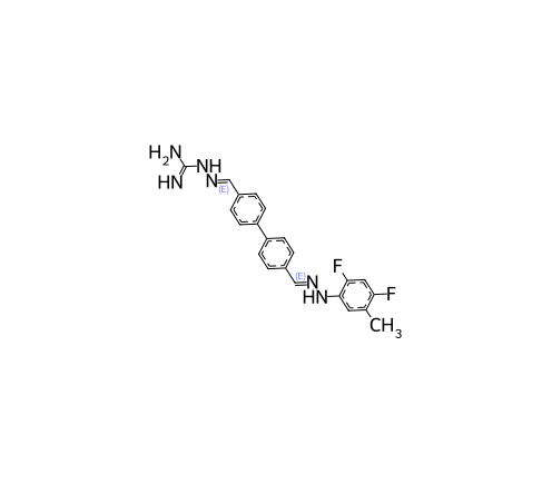 Cc1cc(N/N=C/c2ccc(-c3ccc(/C=N/NC(=N)N)cc3)cc2)c(F)cc1F